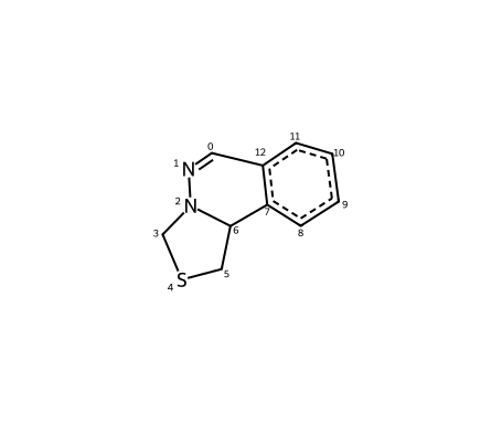 C1=NN2CSCC2c2ccccc21